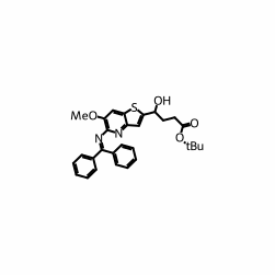 COc1cc2sc(C(O)CCC(=O)OC(C)(C)C)cc2nc1N=C(c1ccccc1)c1ccccc1